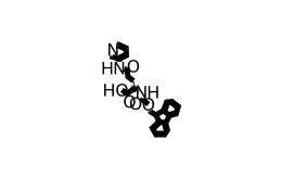 O=C(CC[C@H](NC(=O)OCC1c2ccccc2-c2ccccc21)C(=O)O)Nc1cccnc1